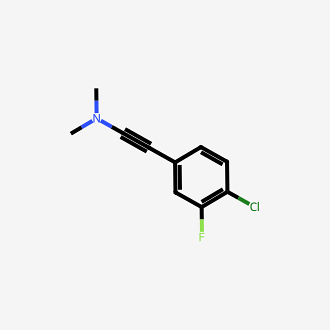 CN(C)C#Cc1ccc(Cl)c(F)c1